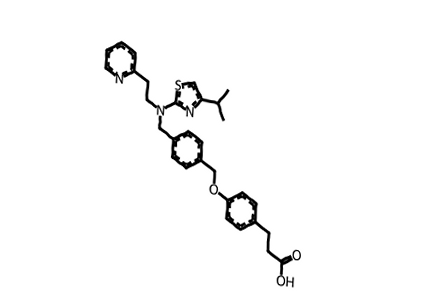 CC(C)c1csc(N(CCc2ccccn2)Cc2ccc(COc3ccc(CCC(=O)O)cc3)cc2)n1